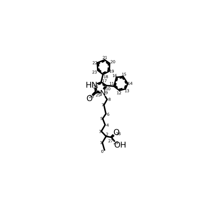 CCC(CCCCCCn1c(-c2ccccc2)c(-c2ccccc2)[nH]c1=O)C(=O)O